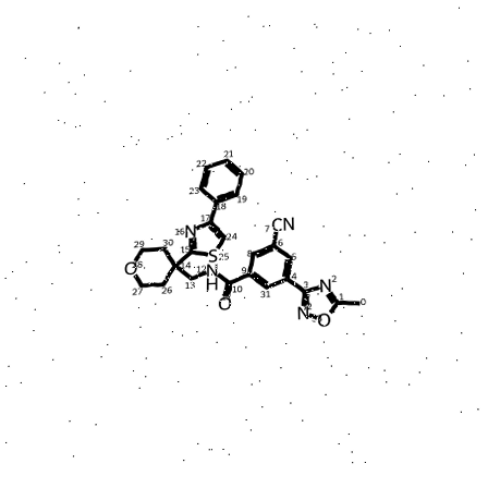 Cc1nc(-c2cc(C#N)cc(C(=O)NCC3(c4nc(-c5ccccc5)cs4)CCOCC3)c2)no1